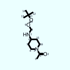 CC(=O)N1CCC(NCOOC(C)(C)C)CC1